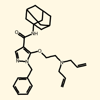 C=CCN(CC=C)CCOc1c(C(=O)NC23CC4CC(CC(C4)C2)C3)cnn1Cc1ccccc1